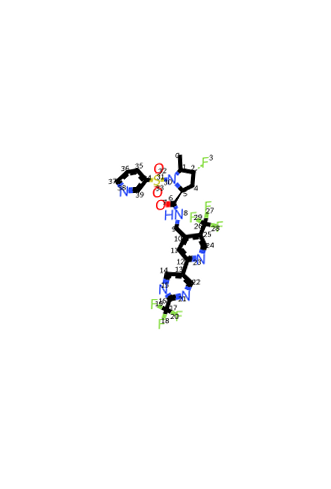 CC1[C@H](F)C[C@@H](C(=O)NCc2cc(-c3cnc(C(F)(F)F)nc3)ncc2C(F)(F)F)N1S(=O)(=O)c1cccnc1